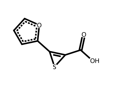 O=C(O)C1=C(c2ccco2)S1